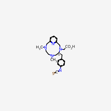 CN1CCN(C)C[C@H](Cc2ccc(N=C=S)cc2)N(CC(=O)O)Cc2cccc(n2)C1